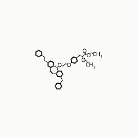 CCOC(=O)C(Cc1ccc(OCCOC2c3ccc(CCc4ccccc4)cc3C=Cc3cc(Cc4ccccc4)ccc32)cc1)OCC